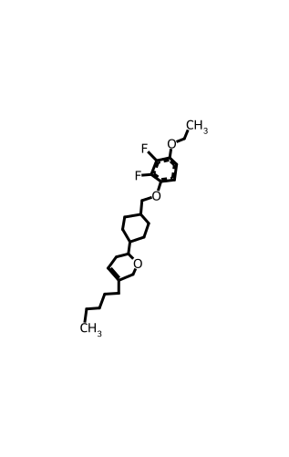 CCCCCC1=CCC(C2CCC(COc3ccc(OCC)c(F)c3F)CC2)OC1